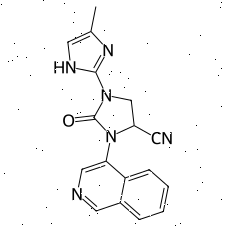 Cc1c[nH]c(N2CC(C#N)N(c3cncc4ccccc34)C2=O)n1